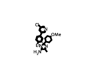 CCc1ccc(-c2cncc(Cl)c2)cc1[C@]1(C2CCC(OC)CC2)N=C(C)C(N)=N1